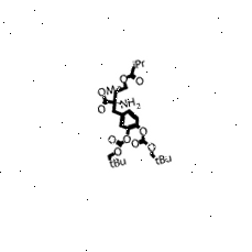 COC(=O)[C@@](N)(CCOC(=O)C(C)C)Cc1ccc(OC(=O)OCC(C)(C)C)c(OC(=O)OCC(C)(C)C)c1